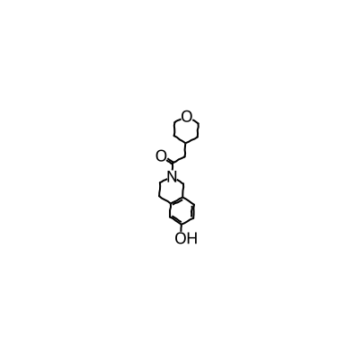 O=C(CC1CCOCC1)N1CCc2cc(O)ccc2C1